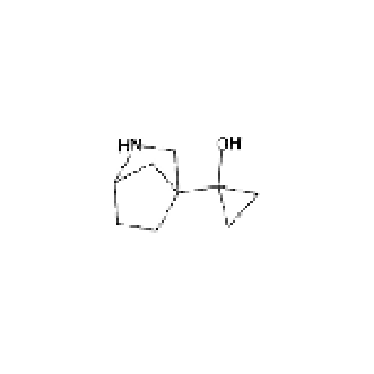 OC1(C23CCC(C2)NC3)CC1